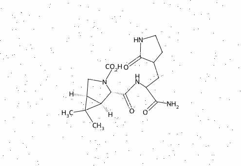 CC1(C)[C@@H]2[C@@H](C(=O)NC(CC3CCNC3=O)C(N)=O)N(C(=O)O)C[C@@H]21